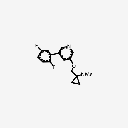 CNC1(COc2cncc(-c3cc(F)ccc3F)c2)CC1